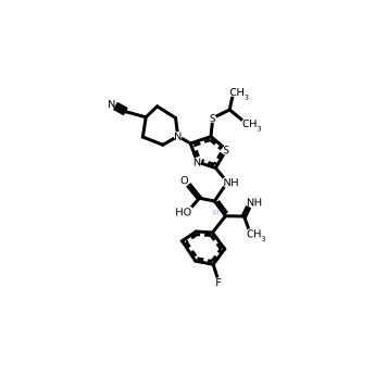 CC(=N)/C(=C(\Nc1nc(N2CCC(C#N)CC2)c(SC(C)C)s1)C(=O)O)c1cccc(F)c1